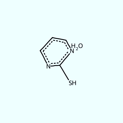 O.Sc1ncccn1